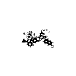 COC1CC(C(=O)Nc2cc([C@](CCC3CC3)(N[S+]([O-])C(C)(C)C)c3ccncc3)ccc2F)N(S(=O)(=O)c2ccc3cc(Cl)ccc3c2)C1